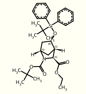 CCOC(=O)[C@@H]1[C@@H]2C[C@@H](C[C@H]2O[Si](c2ccccc2)(c2ccccc2)C(C)(C)C)N1C(=O)OC(C)(C)C